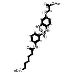 CCCCCCCCCCCCCCCC(=O)Nc1cccc(S(=O)(=O)Nc2ccc(NCC(=O)OC)cc2O)c1